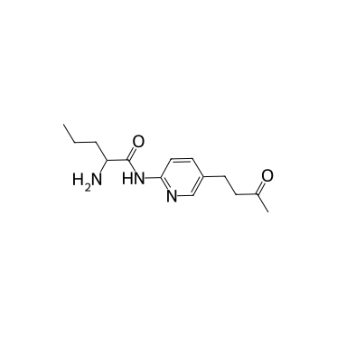 CCCC(N)C(=O)Nc1ccc(CCC(C)=O)cn1